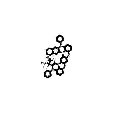 CC1(C)SC2=C(N(c3ccccc3)c3cccc4c3B2c2cc3c(cc2O4)Oc2cccc4c2B3c2cc3c(cc2N4c2ccccc2)CCCC3)C1(C)C